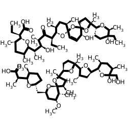 CC[C@@H](C(=O)O)[C@@H]1O[C@@H]([C@@H](C)[C@H](O)[C@H](C)C(=O)[C@H](CC)[C@H]2O[C@]3(C=C[C@@H](O)[C@]4(CC[C@@](C)([C@H]5CC[C@](O)(CC)[C@H](C)O5)O4)O3)[C@H](C)C[C@@H]2C)[C@@H](C)C[C@@H]1C.CO[C@@H]1C[C@@H](C[C@H]2CC[C@H](C)[C@H]([C@@H](C)C(=O)O)O2)O[C@]2(O[C@](C)([C@H]3CC[C@@](C)([C@@H]4O[C@@H]([C@H]5O[C@@](O)(CO)[C@H](C)C[C@@H]5C)C[C@@H]4C)O3)C[C@H]2C)[C@@H]1C